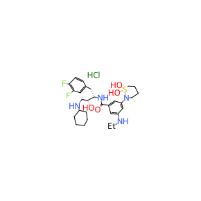 CCNc1cc(C(=O)N[C@@H](Cc2ccc(F)c(F)c2)[C@H](O)CNC2CCCCC2)cc(N2CCCCS2(O)O)c1.Cl